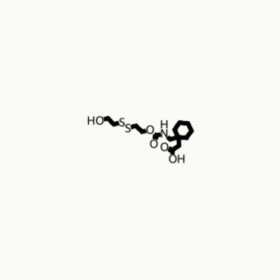 O=C(O)CC1(CNC(=O)OCCSSCCO)CCCCC1